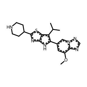 COc1cc(-c2[nH]c3nc(C4CCNCC4)sc3c2C(C)C)cn2ncnc12